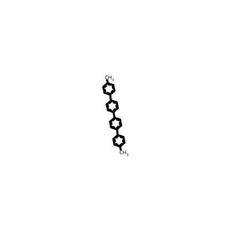 Cc1ccc(-c2ccc(-c3ccc(-c4ccc(C)cc4)cc3)cc2)cc1